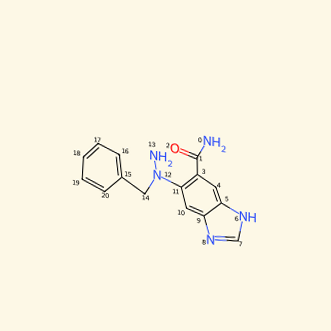 NC(=O)c1cc2[nH]cnc2cc1N(N)Cc1ccccc1